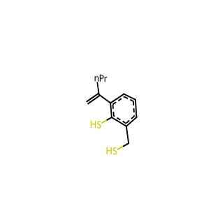 C=C(CCC)c1cccc(CS)c1S